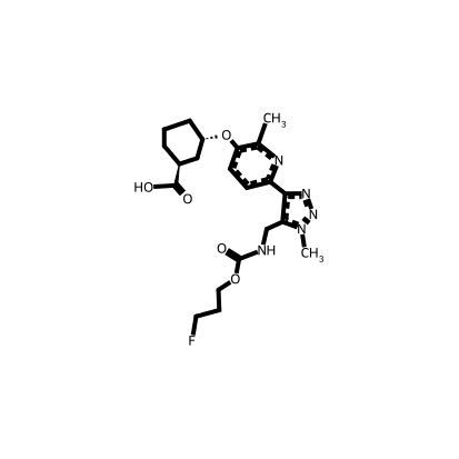 Cc1nc(-c2nnn(C)c2CNC(=O)OCCCF)ccc1O[C@H]1CCC[C@H](C(=O)O)C1